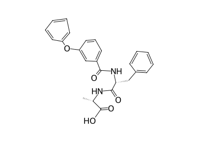 C[C@H](NC(=O)[C@@H](Cc1ccccc1)NC(=O)c1cccc(Oc2ccccc2)c1)C(=O)O